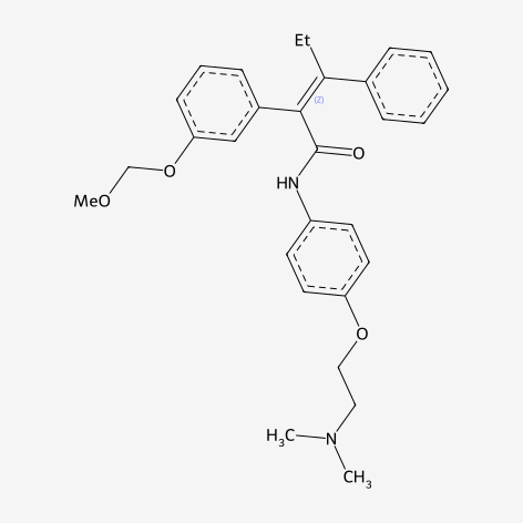 CC/C(=C(/C(=O)Nc1ccc(OCCN(C)C)cc1)c1cccc(OCOC)c1)c1ccccc1